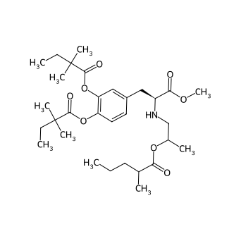 CCCC(C)C(=O)OC(C)CN[C@@H](Cc1ccc(OC(=O)C(C)(C)CC)c(OC(=O)C(C)(C)CC)c1)C(=O)OC